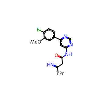 CCCC(=N)CC(=O)Nc1cc(-c2ccc(F)c(OC)c2)ncn1